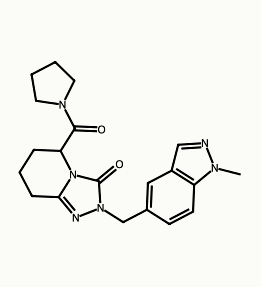 Cn1ncc2cc(Cn3nc4n(c3=O)C(C(=O)N3CCCC3)CCC4)ccc21